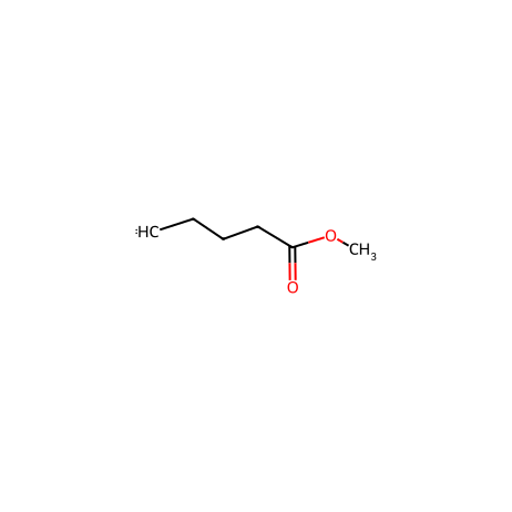 [CH]CCCC(=O)OC